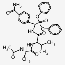 CC(=O)N[C@H](C)C(=O)N[C@@H](C(=O)NC(c1ccc(C(N)=O)cc1)P(=O)(Oc1ccccc1)Oc1ccccc1)C(C)C